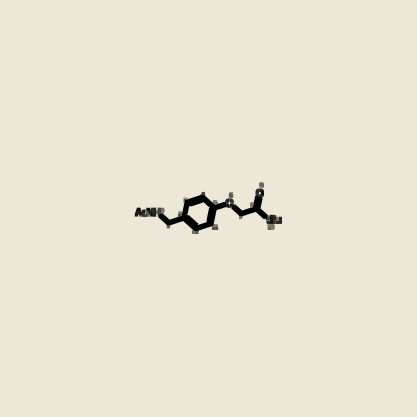 CC(=O)NCc1ccc(OCC(=O)C(C)(C)C)cc1